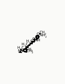 C=C(N)Oc1ccc(NC(=O)/C=C(C)/C=C/C=C(C)/C=C/C2=C(C)C(n3ccnc3)CCC2(C)C)cc1